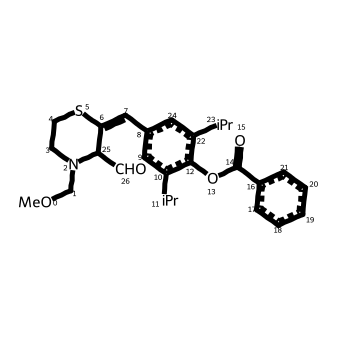 COCN1CCSC(=Cc2cc(C(C)C)c(OC(=O)c3ccccc3)c(C(C)C)c2)C1C=O